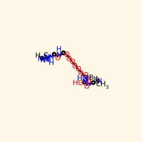 Cc1ncsc1-c1ccc(CNC(=O)[C@@H]2C[C@@H](O)CN2C(=O)[C@@H](NC(=O)CCOCCOCCOCCOCCOCCOc2cccc(CNC(=O)c3cccc(NCc4nnc(-c5ccncn5)n4C)c3)c2)C(C)(C)C)cc1